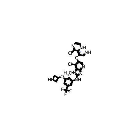 Cn1c(Nc2cc(OC3CNC3)cc(C(F)(F)F)c2)nc2ncc(O/C(C=N)=C3/NC=CN=C3Cl)c(Cl)c21